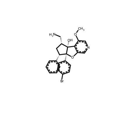 COc1cncc2c1[C@]1(O)[C@@H](CN)C[C@@H](c3ccccc3)[C@]1(c1ccc(Br)cc1)O2